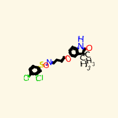 CC1(C)C(=O)Nc2ccc(OCCCC=NOSc3ccc(Cl)c(Cl)c3)cc21